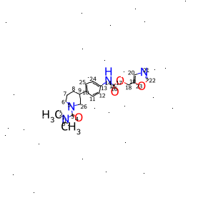 CN(C)C(=O)N1CCCC(c2ccc(NC(=O)OCc3cnco3)cc2)C1